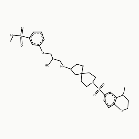 CNS(=O)(=O)c1cccc(OCC(O)CNC2COC3(CCN(S(=O)(=O)c4ccc5c(c4)N(C)CCO5)CC3)C2)c1